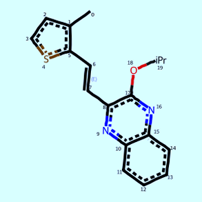 Cc1ccsc1/C=C/c1nc2ccccc2nc1OC(C)C